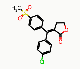 CS(=O)(=O)c1ccc(C(=C2CCOC2=O)c2ccc(Cl)cc2)cc1